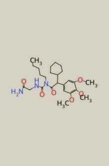 CCCCCN(C(=O)NCC(N)=O)C(=O)C(c1cc(OC)c(OC)c(OC)c1)C1CCCCC1